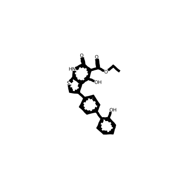 CCOC(=O)c1c(O)c2c(-c3ccc(-c4ccccc4O)cc3)csc2[nH]c1=O